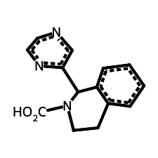 O=C(O)N1CCc2ccccc2C1c1cnccn1